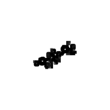 CNC(=O)c1cc(COc2nsc(NCc3ccc(OC)cc3OC)c2C(=O)OC)ccc1F